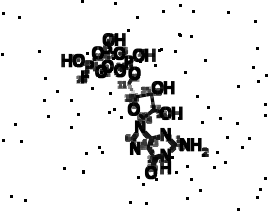 Nc1nc2c(ncn2[C@@H]2O[C@H](COP(=O)(O)OP(=O)(O)OP(=O)(O)F)C(O)C2O)c(=O)[nH]1